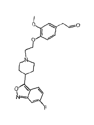 COc1cc(CC=O)ccc1OCCN1CCC(c2onc3cc(F)ccc23)CC1